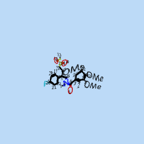 COc1cc(C(=O)N(C)CC(CCS(C)(=O)=O)c2ccc(F)cc2)cc(OC)c1OC